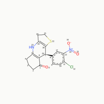 O=C1CCCC2=C1[C@H](c1ccc(Cl)c([N+](=O)[O-])c1)C1=C(CCS1)N2